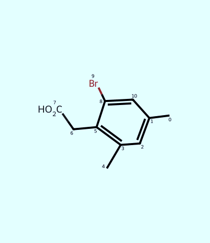 Cc1cc(C)c(CC(=O)O)c(Br)c1